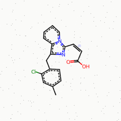 Cc1ccc(Cc2nc(/C=C\C(=O)O)n3ccccc23)c(Cl)c1